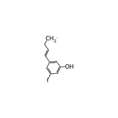 [CH2]CC=Cc1cc(O)cc(I)c1